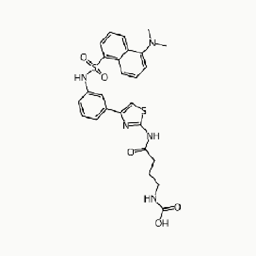 CN(C)c1cccc2c(S(=O)(=O)Nc3cccc(-c4csc(NC(=O)CCCNC(=O)O)n4)c3)cccc12